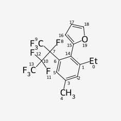 CCc1[c]c(C)cc(C(F)(C(F)(F)F)C(F)(F)C(F)(F)F)c1-c1ccco1